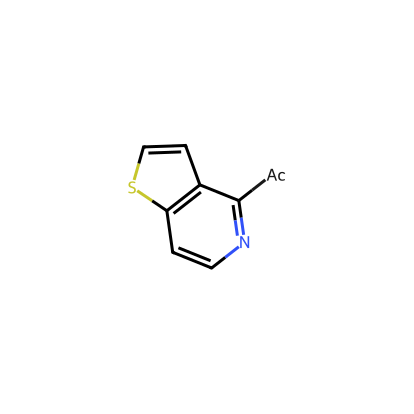 CC(=O)c1nccc2sccc12